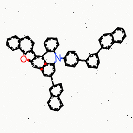 c1cc(-c2ccc(N(c3cccc(-c4ccc5ccccc5c4)c3)c3ccccc3-c3cccc4oc5c6ccccc6ccc5c34)cc2)cc(-c2ccc3ccccc3c2)c1